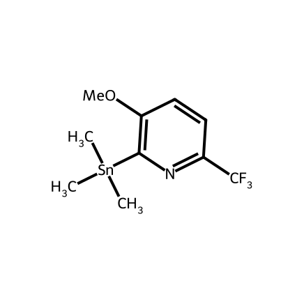 COc1ccc(C(F)(F)F)n[c]1[Sn]([CH3])([CH3])[CH3]